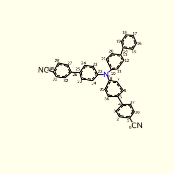 N#Cc1ccc(-c2ccc(N(c3ccc(-c4ccccc4)cc3)c3ccc(-c4ccc(C#N)cc4)cc3)cc2)cc1